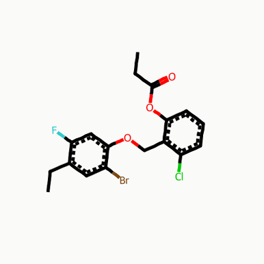 CCC(=O)Oc1cccc(Cl)c1COc1cc(F)c(CC)cc1Br